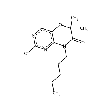 CCCCCN1C(=O)C(C)(C)Oc2cnc(Cl)nc21